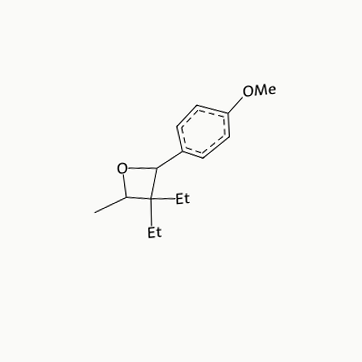 CCC1(CC)C(C)OC1c1ccc(OC)cc1